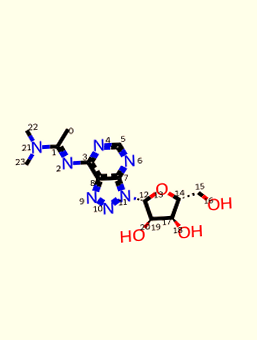 C/C(=N\c1ncnc2c1nnn2[C@@H]1O[C@H](CO)[C@@H](O)[C@H]1O)N(C)C